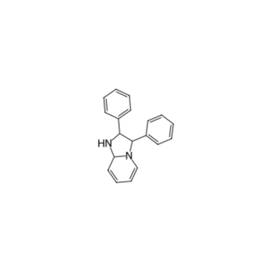 C1=CC2NC(c3ccccc3)C(c3ccccc3)N2C=C1